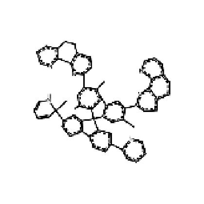 Cc1cc(C2(c3cc(C)c(-c4ccc5ccc6cccnc6c5n4)cc3C)c3cc(-c4ccccn4)ccc3-c3ccc(C4(C)C=CC=CN4)cc32)c(C)cc1-c1ccc2c(n1)-c1ncccc1CC2